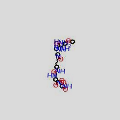 N=C(/C(C(N)=O)=C1/NCC[C@@H](C2CCN(C(=O)CCCc3ccc(NC(=O)CNc4ccc5c(c4)C(=O)N(C4CCC(=O)NC4=O)C5=O)cc3)CC2)N1)c1ccc(Oc2ccccc2)cc1